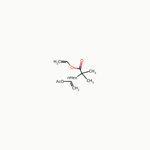 C=COC(=O)C(C)(C)CCCCCC.C=COC(C)=O